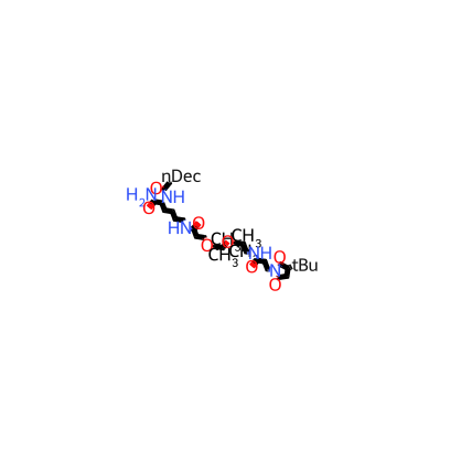 CCCCCCCCCCCC(=O)NC(CCCCNC(=O)CCOC(C)(C)COC(C)(C)CCNC(=O)CCN1C(=O)CC(C(C)(C)C)C1=O)C(N)=O